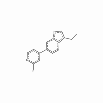 CCc1cnn2cc(-c3ccnc(F)c3)ccc12